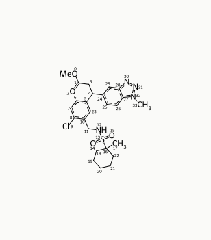 COC(=O)CC(c1ccc(Cl)c(CNS(=O)(=O)C2(C)CCCCC2)c1)c1ccc2c(c1)nnn2C